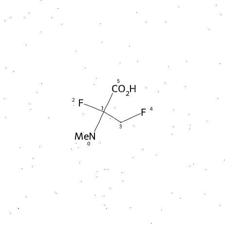 CNC(F)(CF)C(=O)O